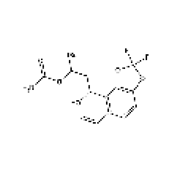 C=Cc1ccc2c(c1C(O)CC(OC(N)=O)C(C)(C)C)OC(F)(F)O2